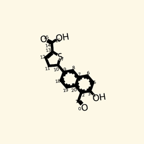 O=Cc1c(O)ccc2cc(C3CC=C(C(=O)O)S3)ccc12